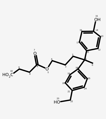 CC(CCCOC(=O)CCC(=O)O)(c1ccc(O)cc1)c1ccc(CO)cc1